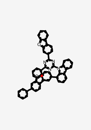 c1ccc(-c2ccc3c(c2)oc2ccc(-c4cccc5c6ccccc6n(-c6nc(-c7ccccc7)nc(-c7ccc8c(c7)oc7ccccc78)n6)c45)cc23)cc1